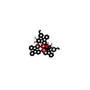 C=CC1=CC=C(C2(c3c(F)c(F)c(F)c(F)c3F)c3ccccc3-c3ccc(N(c4ccc5c(c4)C4(c6ccccc6-5)c5ccccc5-c5ccc(N(c6ccc7c(c6)C(c6ccc(C=C)cc6)(c6c(F)c(F)c(F)c(F)c6F)c6ccccc6-7)c6cccc7ccccc67)cc54)c4cccc5ccccc45)cc32)CC1